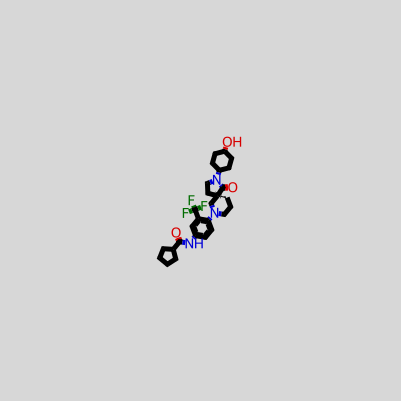 O=C(Nc1ccc(N2CCC[C@@]3(CCN(C4CCC(O)CC4)C3=O)C2)c(C(F)(F)F)c1)C1CCCC1